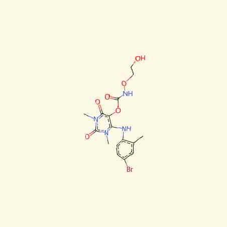 Cc1cc(Br)ccc1Nc1c(OC(=O)NOCCO)c(=O)n(C)c(=O)n1C